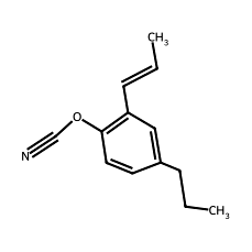 CC=Cc1cc(CCC)ccc1OC#N